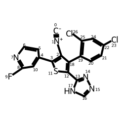 [C-]#[N+]c1c(-c2ccnc(F)c2)sc(-c2nnc[nH]2)c1-c1ccc(Cl)cc1Cl